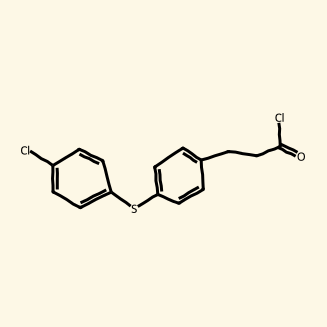 O=C(Cl)CCc1ccc(Sc2ccc(Cl)cc2)cc1